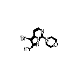 CC(C)c1nn2c(N3CCOCC3)nccc2c1Br